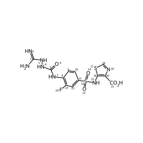 N=C(N)NNC(=O)Nc1ccc(S(=O)(=O)Nc2scnc2C(=O)O)cc1F